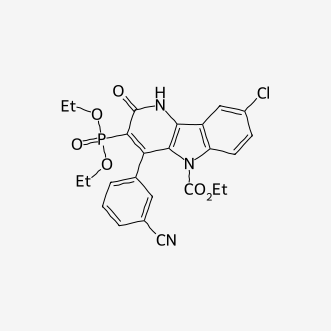 CCOC(=O)n1c2ccc(Cl)cc2c2[nH]c(=O)c(P(=O)(OCC)OCC)c(-c3cccc(C#N)c3)c21